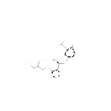 OCC(O)CSc1nonc1C(=NO)Nc1ccc(F)c(C(F)F)c1